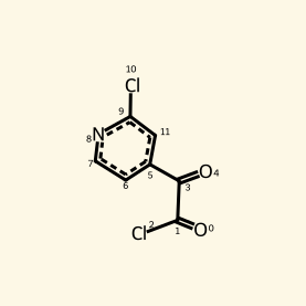 O=C(Cl)C(=O)c1ccnc(Cl)c1